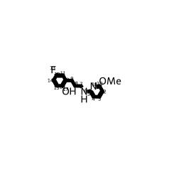 COc1cccc(NCCCc2cc(F)ccc2O)n1